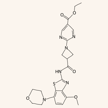 CCOC(=O)c1cnc(N2CC(C(=O)Nc3nc4c(OC)ccc(N5CCOCC5)c4s3)C2)nc1